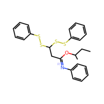 CCC(C)O/C(CC(SSc1ccccc1)SSc1ccccc1)=N\c1ccccc1